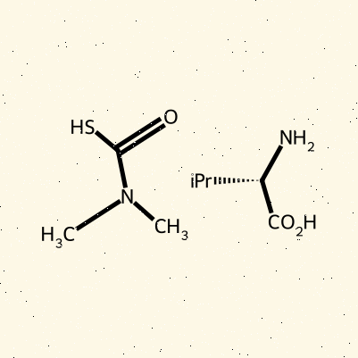 CC(C)[C@H](N)C(=O)O.CN(C)C(=O)S